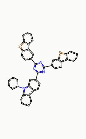 c1ccc(-n2c3ccccc3c3ccc(-c4nc(-c5ccc6c(c5)sc5ccccc56)nc(-c5ccc6sc7ccccc7c6c5)n4)cc32)cc1